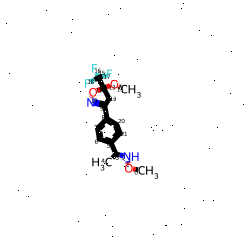 CONC(C)c1ccc(C2=NOC(OC)(C(F)(F)F)C2)cc1